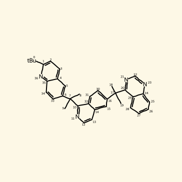 CC(C)(C)c1ccc2cc(C(C)(C)c3nccc4cc(C(C)(C)c5ncnc6ccccc56)ccc34)ccc2n1